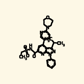 CCS(=O)(=O)NC(=O)c1cc(-c2ccc(N3CCOCC3)nc2)c2c(C(C)C)nn(-c3ccccc3)c2n1